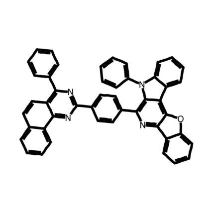 c1ccc(-c2nc(-c3ccc(-c4nc5c6ccccc6oc5c5c6ccccc6n(-c6ccccc6)c45)cc3)nc3c2ccc2ccccc23)cc1